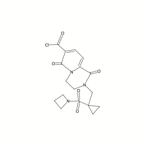 O=C(Cl)c1ccc2n(c1=O)CCN(CC1(S(=O)(=O)N3CCC3)CC1)C2=O